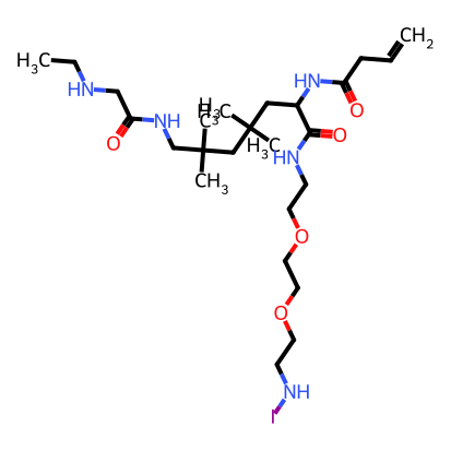 C=CCC(=O)NC(CC(C)(C)CC(C)(C)CNC(=O)CNCC)C(=O)NCCOCCOCCNI